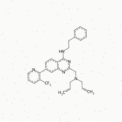 C=CCN(CC=C)Cc1nc(NCCc2ccccc2)c2ccc(-c3ncccc3C(F)(F)F)cc2n1